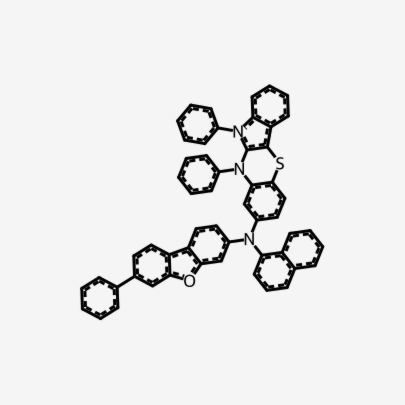 c1ccc(-c2ccc3c(c2)oc2cc(N(c4ccc5c(c4)N(c4ccccc4)c4c(c6ccccc6n4-c4ccccc4)S5)c4cccc5ccccc45)ccc23)cc1